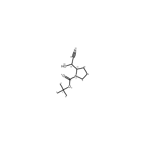 CC(C)(C)OC(=O)N1CCCC1C(O)C#N